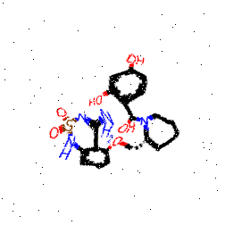 NC1=NS(=O)(=O)Nc2cccc(OC[C@H]3CCCCN3C(O)c3ccc(O)cc3O)c21